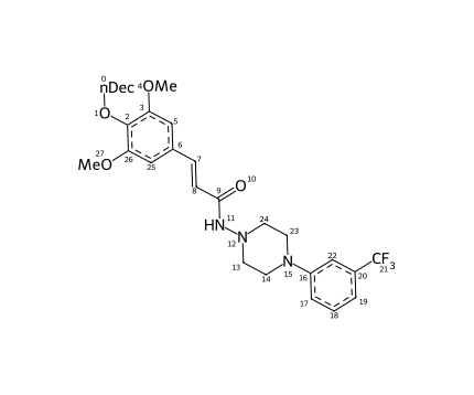 CCCCCCCCCCOc1c(OC)cc(/C=C/C(=O)NN2CCN(c3cccc(C(F)(F)F)c3)CC2)cc1OC